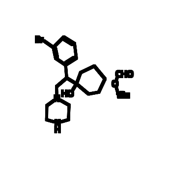 CC(C)(C)OC=O.OC1(C(CN2CCNCC2)c2cccc(Br)c2)CCCCC1